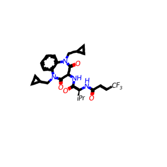 CC(C)[C@H](NC(=O)CCC(F)(F)F)C(=O)NC1C(=O)N(CC2CC2)c2ccccc2N(CC2CC2)C1=O